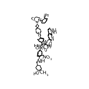 CC(C)c1ccccc1N1CCOC[C@H]1C1CC2(CCN(c3ccc(C(=O)NS(=O)(=O)c4ccc(NCC5CCC(C)(O)CC5)c([N+](=O)[O-])c4)c(N4c5cc6cc[nH]c6nc5O[C@H]5COCC[C@@H]54)c3)CC2)C1